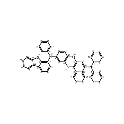 c1ccc(N(c2ccccc2)c2cc3c(c4ccccc24)Sc2cc(N(c4ccccc4)c4cccc5c4sc4ccccc45)ccc2O3)cc1